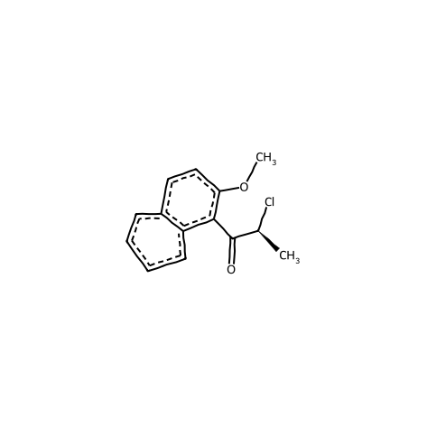 COc1ccc2ccccc2c1C(=O)[C@H](C)Cl